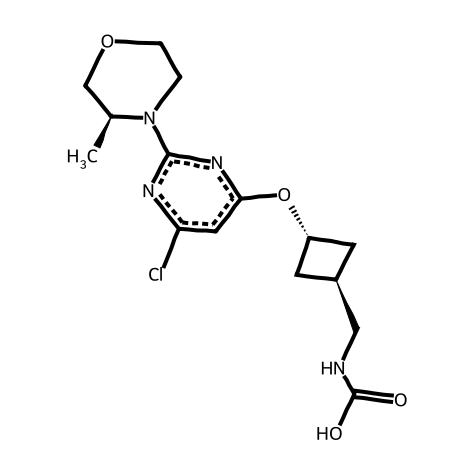 C[C@H]1COCCN1c1nc(Cl)cc(O[C@H]2C[C@H](CNC(=O)O)C2)n1